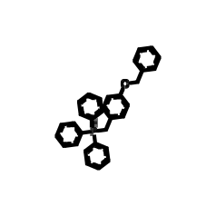 c1ccc(COc2ccc(C[PH](c3ccccc3)(c3ccccc3)c3ccccc3)cc2)cc1